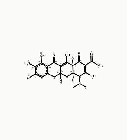 CN(C)[C@@H]1C(O)=C(C(N)=O)C(=O)[C@@]2(O)C(O)=C3C(=O)c4c(cc(Cl)c(N)c4O)C[C@H]3C[C@@H]12